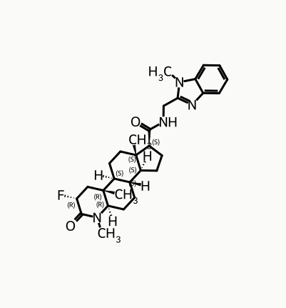 CN1C(=O)[C@H](F)C[C@]2(C)[C@H]3CC[C@]4(C)[C@@H](C(=O)NCc5nc6ccccc6n5C)CC[C@H]4[C@@H]3CC[C@@H]12